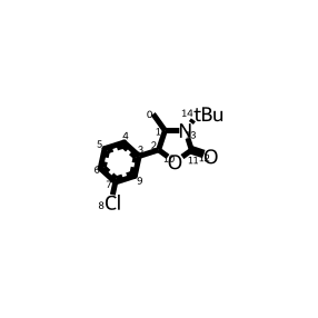 CC1C(c2cccc(Cl)c2)OC(=O)N1C(C)(C)C